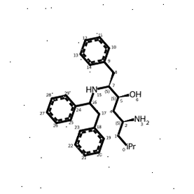 CC(C)C[C@H](N)C[C@H](O)[C@H](Cc1ccccc1)NC(Cc1ccccc1)c1ccccc1